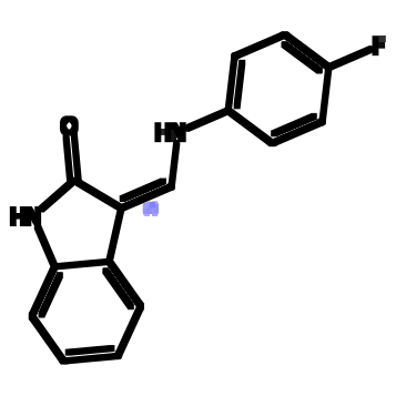 O=C1Nc2ccccc2/C1=C/Nc1ccc(F)cc1